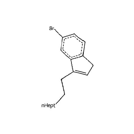 CCCCCCCCCC1=CCc2ccc(Br)cc21